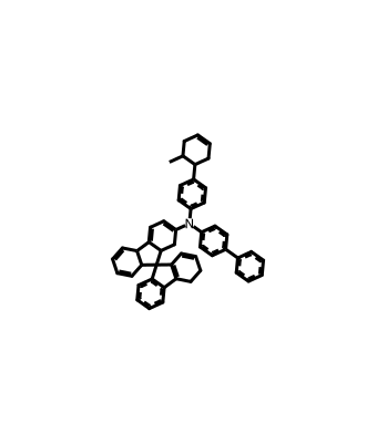 CC1CC=CCC1c1ccc(N(C2=CC=C3C4C=CC=CC4C4(C5=C(CCC=C5)c5ccccc54)C3C2)c2ccc(-c3ccccc3)cc2)cc1